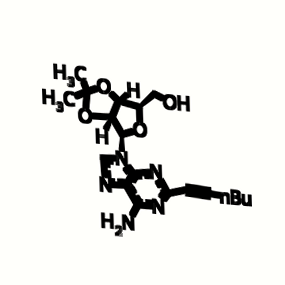 CCCCC#Cc1nc(N)c2ncn([C@@H]3O[C@H](CO)[C@H]4OC(C)(C)O[C@H]43)c2n1